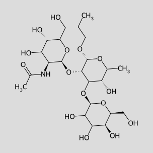 CCCO[C@@H]1OC(C)[C@H](O)C(O[C@H]2O[C@@H](CO)[C@@H](O)C(O)C2O)[C@@H]1O[C@@H]1OC(CO)[C@@H](O)C(O)[C@@H]1NC(C)=O